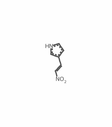 O=[N+]([O-])/C=C/c1cc[nH]c1